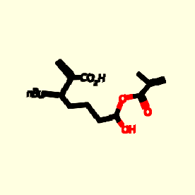 C=C(C)C(=O)OC(O)CCCC(CCCC)C(=C)C(=O)O